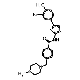 Cc1ccc(-c2csc(NC(=O)c3ccc(CN4CCN(C)CC4)cc3)n2)cc1Br